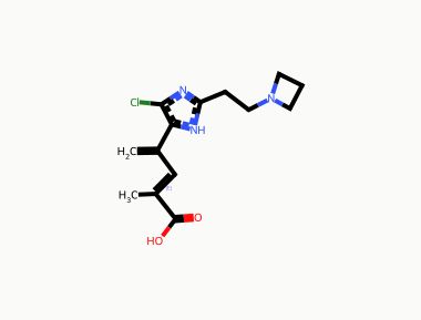 C=C(/C=C(\C)C(=O)O)c1[nH]c(CCN2CCC2)nc1Cl